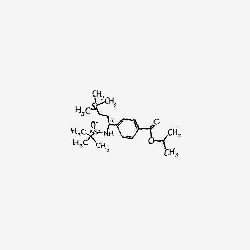 CC(C)OC(=O)c1ccc([C@H](CC[Si](C)(C)C)N[S@@+]([O-])C(C)(C)C)cc1